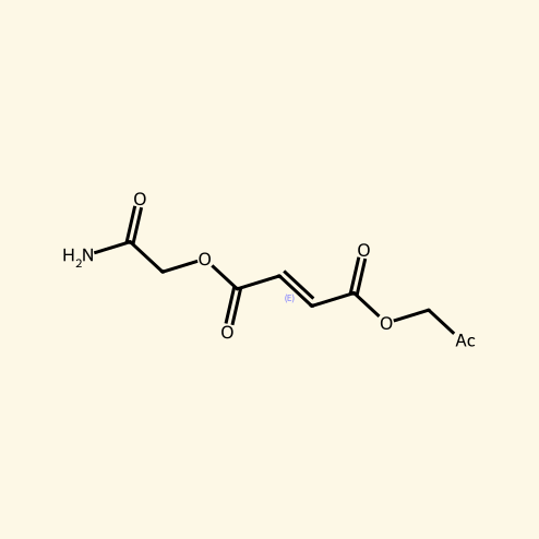 CC(=O)COC(=O)/C=C/C(=O)OCC(N)=O